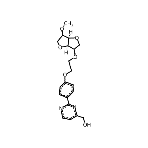 CO[C@@H]1CO[C@H]2[C@@H]1OC[C@H]2OCCOc1ccc(-c2nccc(CO)n2)cc1